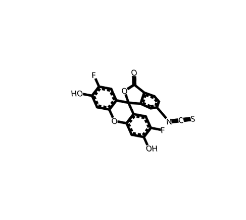 O=C1OC2(c3cc(F)c(O)cc3Oc3cc(O)c(F)cc32)c2cc(N=C=S)ccc21